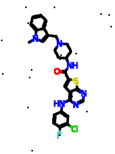 Cn1cc(CN2CCC(NC(=O)c3cc4c(Nc5ccc(F)c(Cl)c5)ncnc4s3)CC2)c2ccccc21